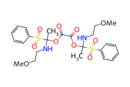 COCCNC(C)(OC(=O)C(=O)OC(C)(NCCOC)S(=O)(=O)c1ccccc1)S(=O)(=O)c1ccccc1